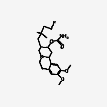 COc1cc2c(cc1OC)C1CC(OC(N)=O)C(CC(C)(C)CCF)CN1CC2